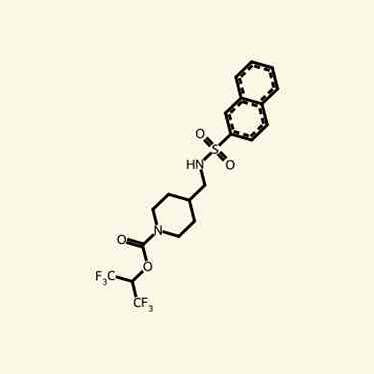 O=C(OC(C(F)(F)F)C(F)(F)F)N1CCC(CNS(=O)(=O)c2ccc3ccccc3c2)CC1